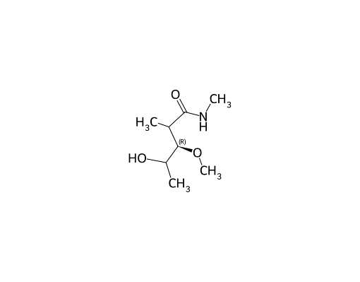 CNC(=O)C(C)[C@@H](OC)C(C)O